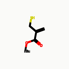 C=C(CS)C(=O)OCCCC